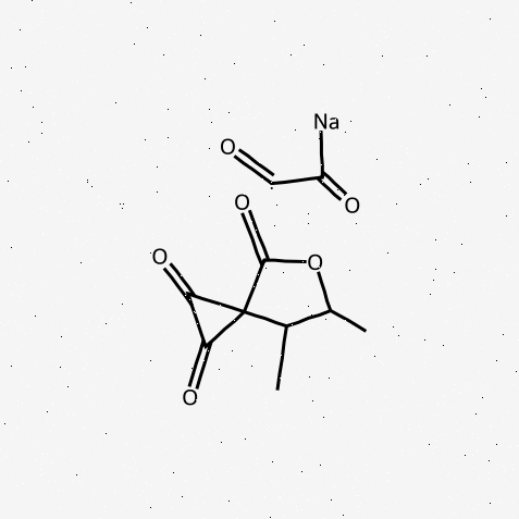 CC1OC(=O)C2(C(=O)C2=O)C1C.O=[C][C](=O)[Na]